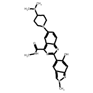 CNC(=O)c1nc(-c2cc3cn(C)nc3cc2O)nc2ccc(N3CCC(N(C)C)CC3)cc12